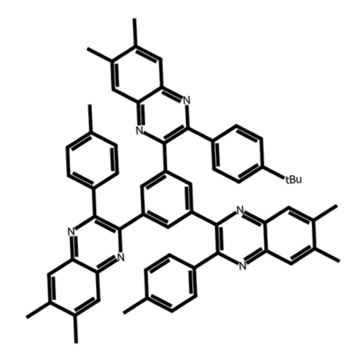 Cc1ccc(-c2nc3cc(C)c(C)cc3nc2-c2cc(-c3nc4cc(C)c(C)cc4nc3-c3ccc(C)cc3)cc(-c3nc4cc(C)c(C)cc4nc3-c3ccc(C(C)(C)C)cc3)c2)cc1